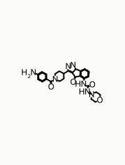 Nc1ccc(C(=O)N2CCC(C3=C4C(=O)c5c(NC(=O)NN6CCOCC6)cccc5C4N=N3)CC2)cc1